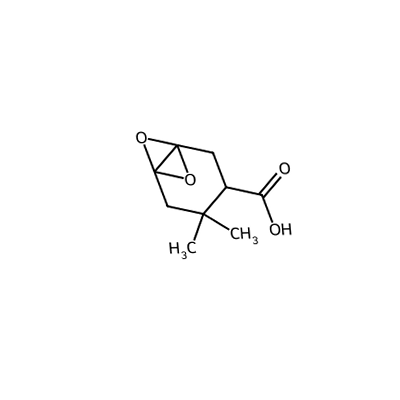 CC1(C)CC23OC2(CC1C(=O)O)O3